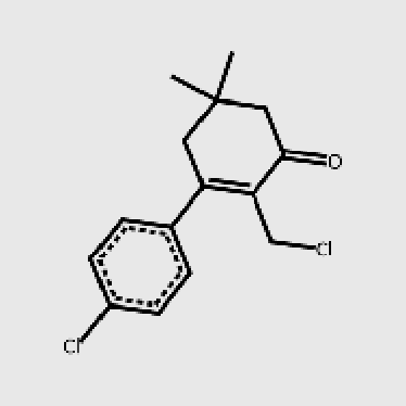 CC1(C)CC(=O)C(CCl)=C(c2ccc(Cl)cc2)C1